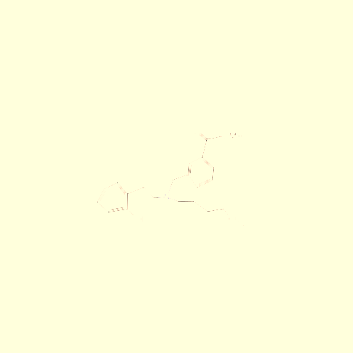 CCOC(=O)CCCCN(CCc1ccccc1O)Cc1cccc(C(=O)OC)c1